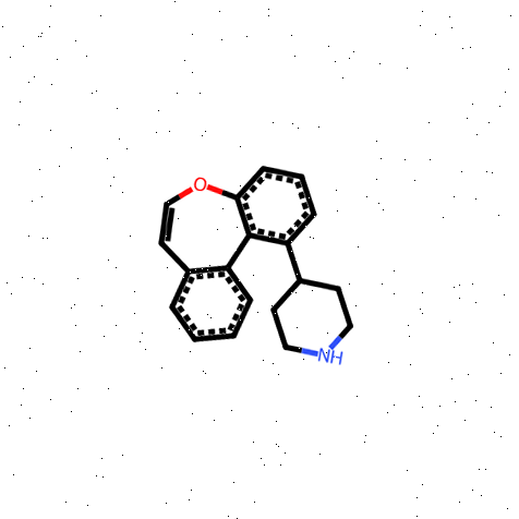 C1=Cc2ccccc2-c2c(cccc2C2CCNCC2)O1